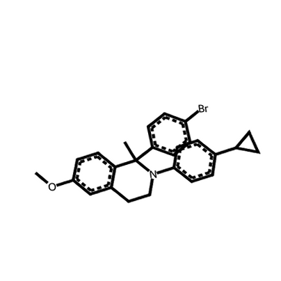 COc1ccc2c(c1)CCN(c1ccc(C3CC3)cc1)C2(C)c1ccc(Br)cc1